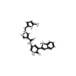 O=C(Nc1c[nH]c(=O)c(-c2cc3ccccc3[nH]2)c1)c1cnn(Cc2ccc(Cl)s2)c1